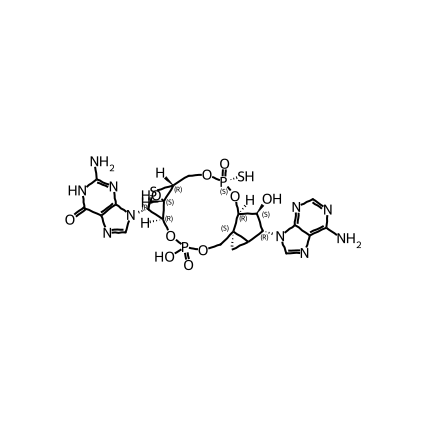 Nc1nc2c(ncn2[C@@H]2S[C@@H]3CO[P@](=O)(S)O[C@H]4[C@@H](O)[C@H](n5cnc6c(N)ncnc65)C5C[C@@]54COP(=O)(O)O[C@@H]2[C@@H]3O)c(=O)[nH]1